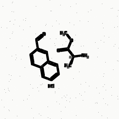 COC(=O)[C@H](C)N.Cl.O=Cc1ccc2ccccc2c1